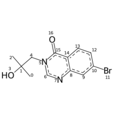 CC(C)(O)Cn1cnc2cc(Br)ccc2c1=O